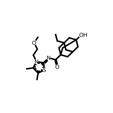 CCC12CC3CC(O)(C1)CC(C(=O)N=c1sc(C)c(C)n1CCOC)(C3)C2